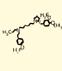 CCCN(CCCCCCN1CCC[C@@H]1Cc1ccc(OC)c(OC)c1)CCc1ccc(OC)cc1